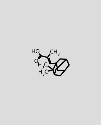 C/C(=C\C12CC3CC(CC(C3)C1(C)C)C2)C(=O)O